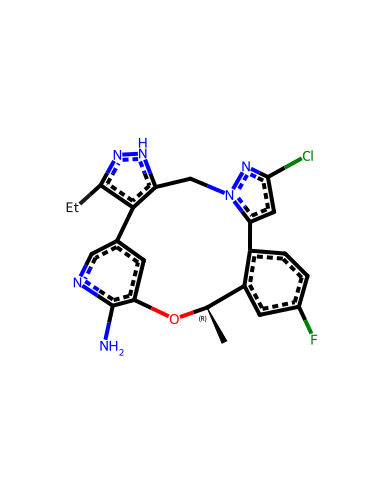 CCc1n[nH]c2c1-c1cnc(N)c(c1)O[C@H](C)c1cc(F)ccc1-c1cc(Cl)nn1C2